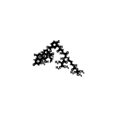 CC(C)[C@H](N)C(=O)N[C@@H](CCCCNC(=O)OC(C)(C)C)C(=O)NCC(=O)Nc1cc(C(=O)O[C@]2(C(=O)SCF)CC[C@H]3[C@@H]4C[C@H](F)C5=CC(=O)C=C[C@]5(C)[C@@]4(F)[C@@H](O)C[C@@]32C)ccc1F